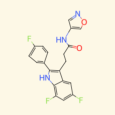 O=C(CCc1c(-c2ccc(F)cc2)[nH]c2c(F)cc(F)cc12)Nc1cnoc1